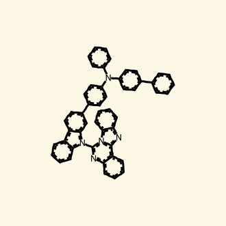 c1ccc(-c2ccc(N(c3ccccc3)c3ccc(-c4ccc5c6ccccc6n(-c6nc7ccccc7c7nc8ccccc8n67)c5c4)cc3)cc2)cc1